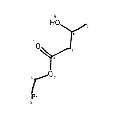 CC(C)COC(=O)CC(C)O